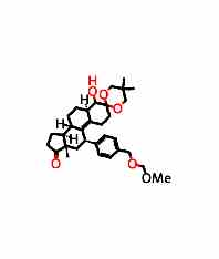 COCOCc1ccc([C@H]2C[C@]3(C)C(=O)CC[C@H]3[C@@H]3CC[C@@H]4C(=C32)CCC2(OCC(C)(C)CO2)C4O)cc1